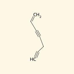 C#CCC#CC=C